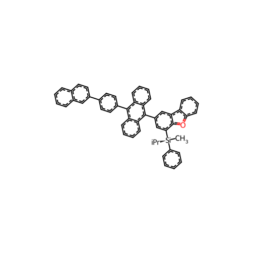 CC(C)[Si@@](C)(c1ccccc1)c1cc(-c2c3ccccc3c(-c3ccc(-c4ccc5ccccc5c4)cc3)c3ccccc23)cc2c1oc1ccccc12